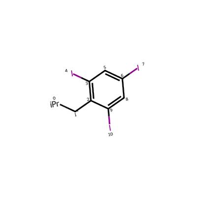 CC(C)[CH]c1c(I)cc(I)cc1I